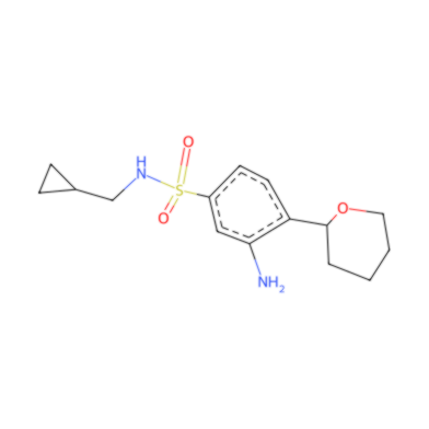 Nc1cc(S(=O)(=O)NCC2CC2)ccc1C1CCCCO1